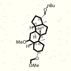 CCCCOC[C@H]1CC[C@H]2[C@@H]3CC(OC)[C@H]4C[C@@H](OCOC)CC[C@]4(C)[C@H]3CC[C@]12C